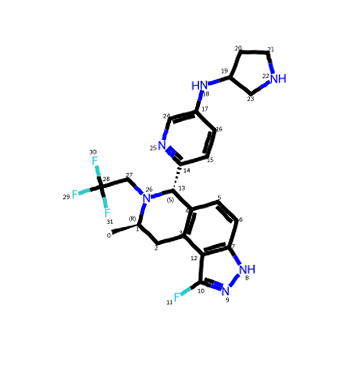 C[C@@H]1Cc2c(ccc3[nH]nc(F)c23)[C@@H](c2ccc(NC3CCNC3)cn2)N1CC(F)(F)F